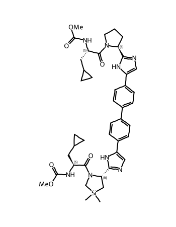 COC(=O)N[C@@H](CC1CC1)C(=O)N1CCC[C@H]1c1ncc(-c2ccc(-c3ccc(-c4cnc([C@@H]5C[Si](C)(C)CN5C(=O)[C@H](CC5CC5)NC(=O)OC)[nH]4)cc3)cc2)[nH]1